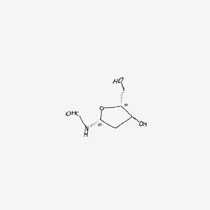 O=CN[C@H]1CC(O)[C@@H](CO)O1